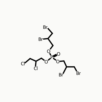 O=P(OCC(Cl)CCl)(OCC(Br)CBr)OCC(Br)CBr